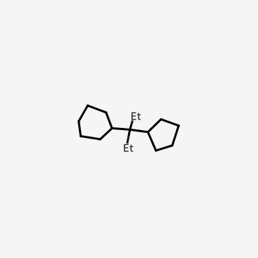 CCC(CC)(C1CCCCC1)C1CCCC1